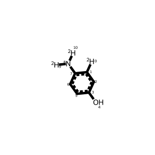 [2H]c1cc(O)ccc1N([2H])[2H]